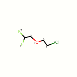 FC(F)COCCCl